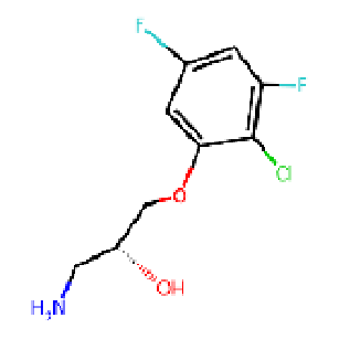 NC[C@@H](O)COc1cc(F)cc(F)c1Cl